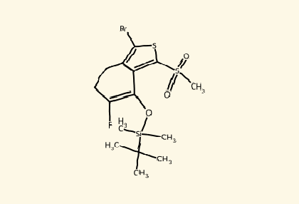 CC(C)(C)[Si](C)(C)OC1=C(F)CCc2c(Br)sc(S(C)(=O)=O)c21